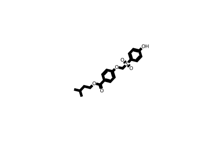 CC(C)CCOC(=O)c1ccc(OCS(=O)(=O)c2ccc(O)cc2)cc1